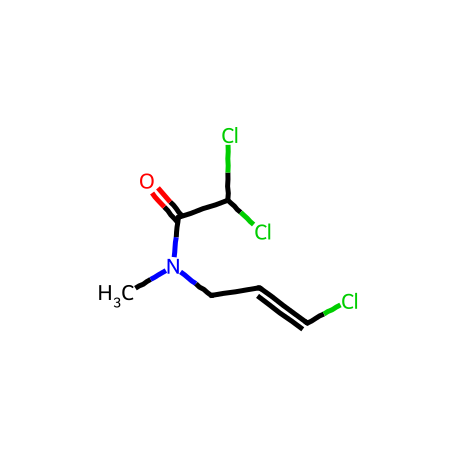 CN(CC=CCl)C(=O)C(Cl)Cl